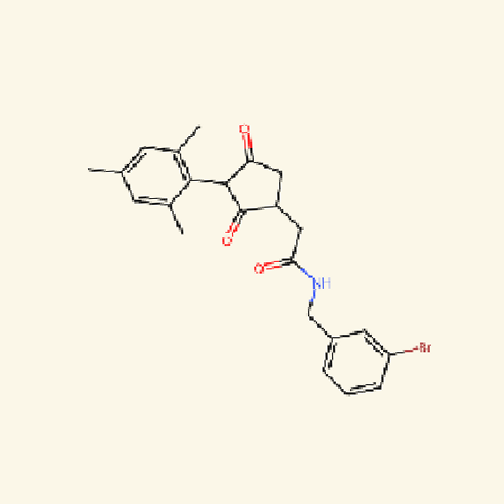 Cc1cc(C)c(C2C(=O)CC(CC(=O)NCc3cccc(Br)c3)C2=O)c(C)c1